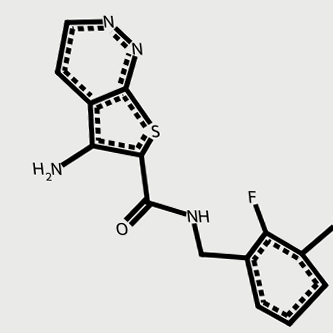 Nc1c(C(=O)NCc2cccc(F)c2F)sc2nnccc12